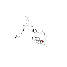 CCCC1O[C@@H]2C[C@H]3[C@@H]4CCC5=CC(=O)C=C[C@]5(C)[C@H]4[C@@H](O)C[C@]3(C)[C@]2(C(O)COC(=O)N(C)CCN(C)C(=O)OCc2ccc(NC(=O)[C@H](CCCNC(N)=O)NC(=O)[C@@H](NC(=O)CCCCCN3C(=O)C=CC3=O)C(C)C)cc2)O1